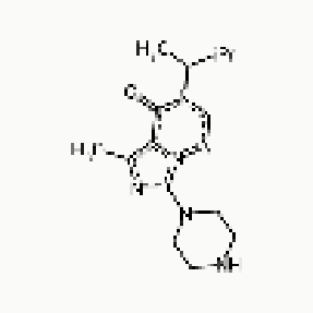 Cc1nc(N2CCNCC2)n2ncn(C(C)C(C)C)c(=O)c12